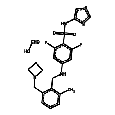 Cc1cccc(CN2CCC2)c1CNc1cc(F)c(S(=O)(=O)Nc2cscn2)c(F)c1.O=CO